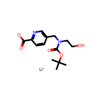 CC(C)(C)OC(=O)N(CCO)Cc1ccc(C(=O)[O-])nc1.[Li+]